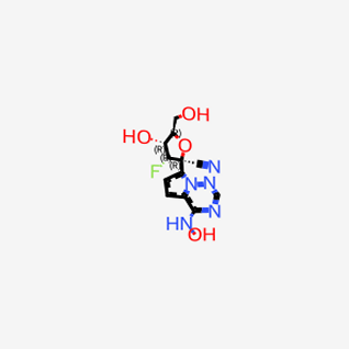 N#C[C@@]1(c2ccc3c(NO)ncnn23)O[C@H](CO)[C@@H](O)[C@H]1F